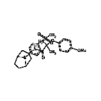 COc1ccc(OC(C)(C)C(=O)NC2CC3CCC(C2)N3c2ccc(S(C)(=O)=O)cc2)cc1